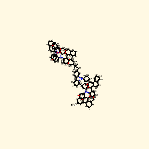 CC(C)(C)c1cc(-c2cccc3cccc(-c4ccccc4N(c4cccc(-c5cccc6c7ccc(CC(C)(C)c8cc(-c9cccc%10cccc(-c%11ccccc%11N(c%11ccccc%11-c%11cccc%12c%11ccc%11ccccc%11%12)c%11cccc%12c%13ccccc%13n(-c%13ccccc%13)c%11%12)c9%10)cc(C(C)(C)C)c8)cc7n(-c7ccccc7)c56)c4)c4ccccc4-c4cccc5c4ccc4ccccc45)c23)cc(C(C)(C)C)c1